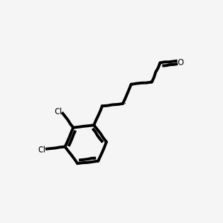 O=CCC[CH]Cc1cccc(Cl)c1Cl